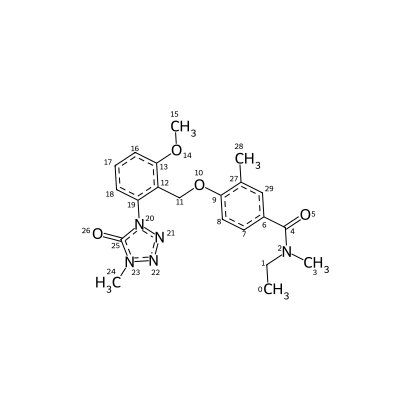 CCN(C)C(=O)c1ccc(OCc2c(OC)cccc2-n2nnn(C)c2=O)c(C)c1